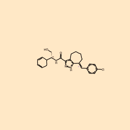 O=C(N[C@@H](CO)C1C=CC=CC1)c1n[nH]c2c1CCCC/C2=C\c1ccc(Cl)cc1